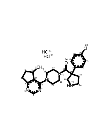 CC1CCc2ncnc(N3CCN(C(=O)C4(c5ccc(Cl)cc5)CCNC4)CC3)c21.Cl.Cl